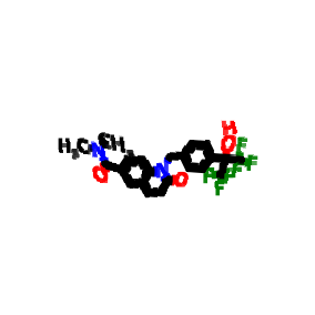 CN(C)C(=O)c1ccc2c(ccc(=O)n2Cc2ccc(C(O)(C(F)(F)F)C(F)(F)F)cc2)c1